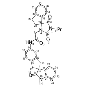 CC(C)N1C(=O)N(CC(=O)Nc2ccc3c(c2)C[C@@]2(C3)C(=O)Nc3ncccc32)C2(CCc3ccccc32)C1=O